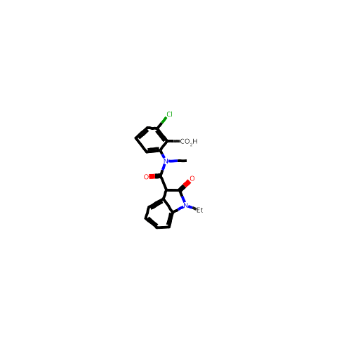 CCN1C(=O)C(C(=O)N(C)c2cccc(Cl)c2C(=O)O)c2ccccc21